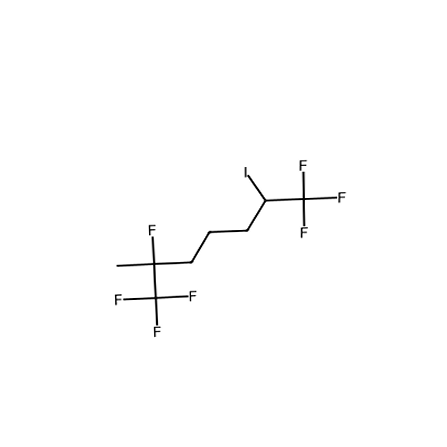 CC(F)(CCCC(I)C(F)(F)F)C(F)(F)F